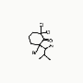 CC(C)C(Br)C1(Br)CCCC(Cl)(Cl)C1=O